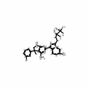 CC1(c2cccc(F)c2)CNc2nc(-c3nc(CCC(F)(F)C(F)(F)F)n4cc(Cl)ccc34)nc(N)c21